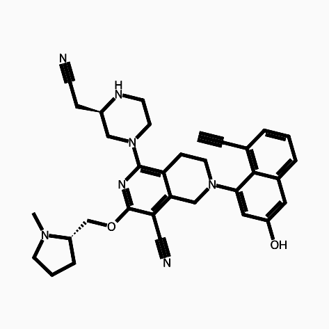 C#Cc1cccc2cc(O)cc(N3CCc4c(N5CCN[C@H](CC#N)C5)nc(OC[C@@H]5CCCN5C)c(C#N)c4C3)c12